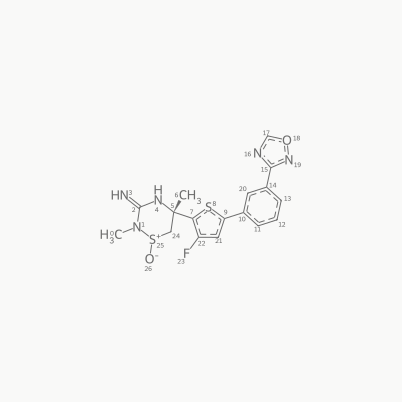 CN1C(=N)N[C@](C)(c2sc(-c3cccc(-c4ncon4)c3)cc2F)C[S+]1[O-]